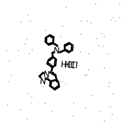 C1=C(c2ccc(CN(Cc3ccccc3)Cc3ccccc3)cc2)N2CCN=C2c2ccccc21.Cl.Cl